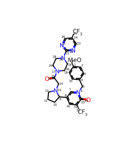 COc1ccc(Cn2cc(C3CCCN3CC(=O)N3CCN(c4ncc(C(F)(F)F)cn4)CC3)cc(C(F)(F)F)c2=O)cc1